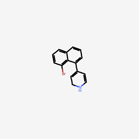 Brc1cccc2cccc(C3=CCNC=C3)c12